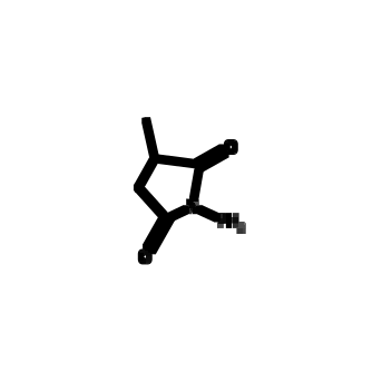 CC1CC(=O)N(P)C1=O